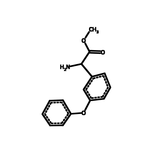 COC(=O)C(N)c1cccc(Oc2ccccc2)c1